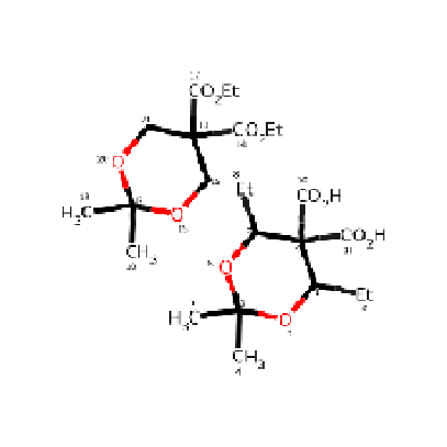 CCC1OC(C)(C)OC(CC)C1(C(=O)O)C(=O)O.CCOC(=O)C1(C(=O)OCC)COC(C)(C)OC1